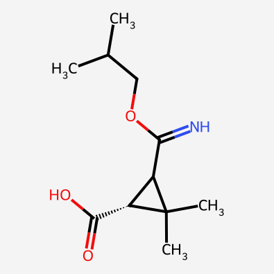 CC(C)COC(=N)C1[C@@H](C(=O)O)C1(C)C